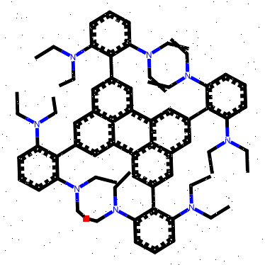 CCN(CC)c1cccc(N(CC)CC)c1-c1cc2cc(-c3c(N(CC)CC)cccc3N(CC)CC)cc3c4cc(-c5c(N(CC)CC)cccc5N(CC)CC)cc5cc(-c6c(N(CC)CC)cccc6N(CC)CC)cc(c(c1)c23)c54